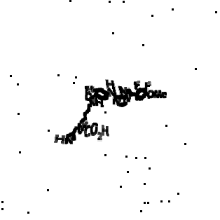 CCc1cc(Nc2nccn3c(-c4ccc(OC)c(F)c4F)cnc23)ccc1C(=O)NCCCCC[N+](C)(CC(=O)O)CC1CNC1